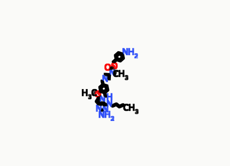 CCCCCNc1nc(N)nc2ccn(Cc3ccc(CN4CC(N(C)C(=O)OCc5ccc(N)cc5)C4)cc3OC)c12